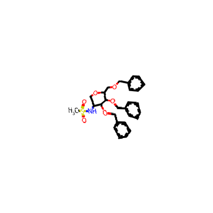 CS(=O)(=O)NC1COC(COCc2ccccc2)C(OCc2ccccc2)C1OCc1ccccc1